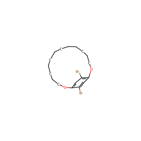 Brc1cc2c(Br)cc1OCCCCCCCCCCCCO2